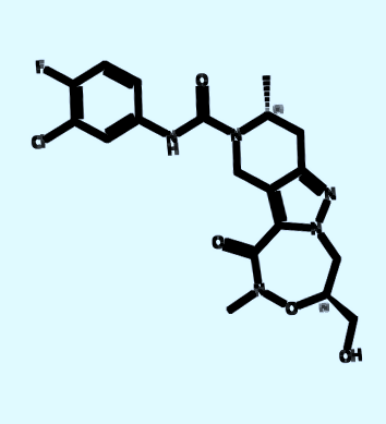 C[C@@H]1Cc2nn3c(c2CN1C(=O)Nc1ccc(F)c(Cl)c1)C(=O)N(C)O[C@H](CO)C3